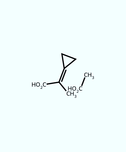 CC(=O)O.CC(C(=O)O)=C1CC1